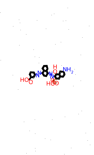 Nc1ccc2cc(S(=O)(=O)O)c(N=Nc3ccc(N=Nc4cccc(C(=O)O)c4)c4ccccc34)c(O)c2c1